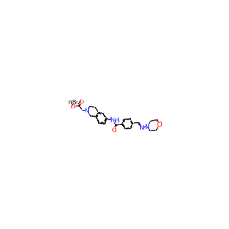 CCCCOC(=O)CN1CCc2cc(NC(=O)c3ccc(/C=N/N4CCOCC4)cc3)ccc2C1